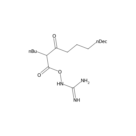 CCCCCCCCCCCCCC(=O)C(CCCC)C(=O)ONC(=N)N